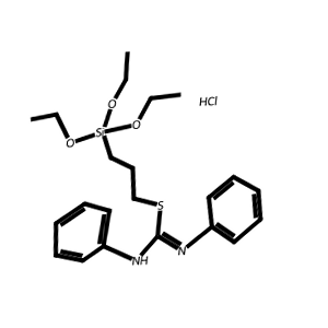 CCO[Si](CCCSC(=Nc1ccccc1)Nc1ccccc1)(OCC)OCC.Cl